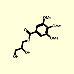 COc1cc(C(=O)OCC(O)CO)cc(OC)c1OC